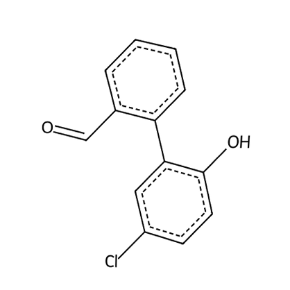 O=Cc1ccccc1-c1cc(Cl)ccc1O